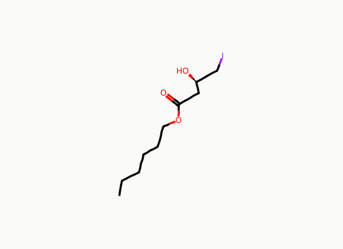 CCCCCCOC(=O)C[C@@H](O)CI